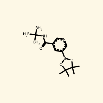 BC(B)(B)NC(=O)c1cncc(B2OC(C)(C)C(C)(C)O2)c1